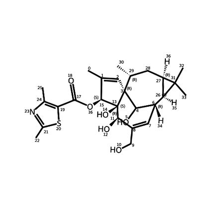 CC1=C[C@]23C(O)[C@@H](C=C(CO)[C@@H](O)[C@]2(O)[C@H]1OC(=O)c1sc(C)nc1C)[C@H]1[C@@H](C[C@H]3C)C1(C)C